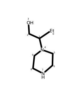 CCC(CO)N1CCNCC1